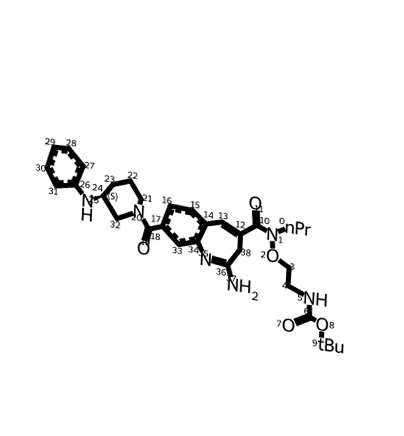 CCCN(OCCNC(=O)OC(C)(C)C)C(=O)C1=Cc2ccc(C(=O)N3CCC[C@H](Nc4ccccc4)C3)cc2N=C(N)C1